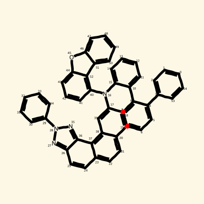 c1ccc(-c2ccccc2-c2ccccc2N(c2ccc3ccc4ccc5nn(-c6ccccc6)nc5c4c3c2)c2cccc3oc4ccccc4c23)cc1